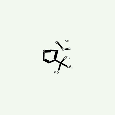 CC(C)(C)c1ccncc1.ClOCl.[Se]